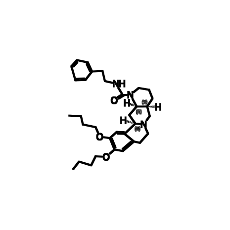 CCCCOc1cc2c(cc1OCCCC)[C@H]1C[C@@H]3[C@@H](CCCN3C(=O)NCCc3ccccc3)CN1CC2